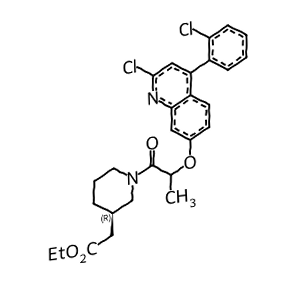 CCOC(=O)C[C@H]1CCCN(C(=O)C(C)Oc2ccc3c(-c4ccccc4Cl)cc(Cl)nc3c2)C1